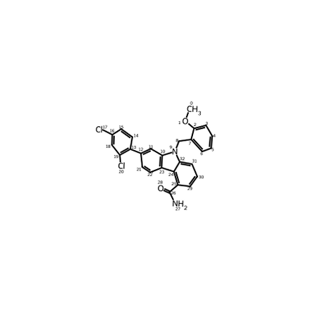 COc1ccccc1Cn1c2cc(-c3ccc(Cl)cc3Cl)c[c]c2c2c(C(N)=O)cccc21